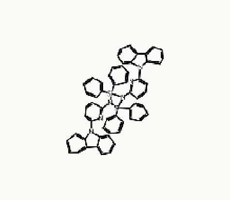 c1ccc([Si]2(c3ccccc3)N(c3cccc(-n4c5ccccc5c5ccccc54)n3)[Si](c3ccccc3)(c3ccccc3)N2c2cccc(-n3c4ccccc4c4ccccc43)n2)cc1